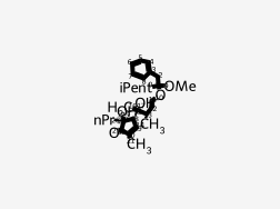 CCCC(C)C(Cc1ccccc1)(OC)OCC[C@@H](C)C(C)(O)[C@@H]1C=C(C)C(=O)[C@@]1(O)CCC